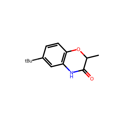 CC1Oc2ccc(C(C)(C)C)cc2NC1=O